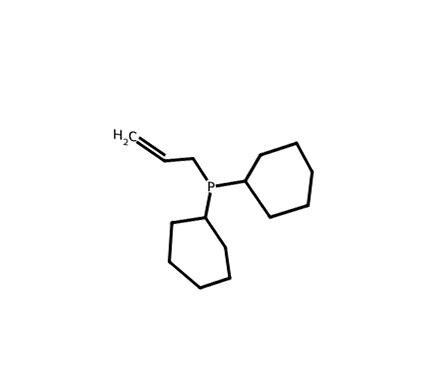 C=CCP(C1CCCCC1)C1CCCCC1